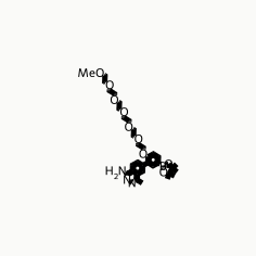 COCCOCCOCCOCCOCCOCCOc1ccc(B2OC(C)(C)C(C)(C)O2)cc1-c1ccc2c(N)nnc(C)c2c1